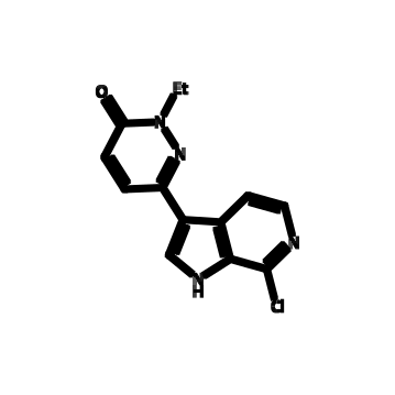 CCn1nc(-c2c[nH]c3c(Cl)nccc23)ccc1=O